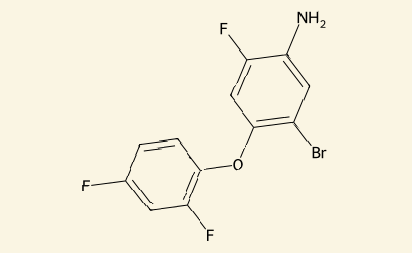 Nc1cc(Br)c(Oc2ccc(F)cc2F)cc1F